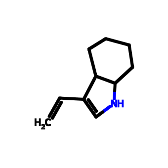 C=CC1=CNC2CCCCC12